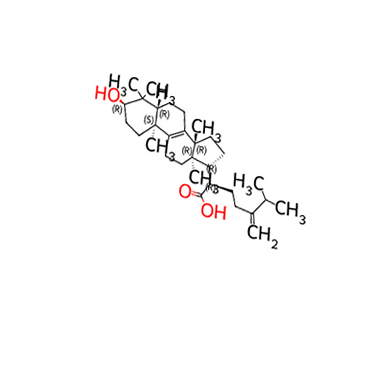 C=C(CC[C@@H](C(=O)O)[C@H]1CC[C@@]2(C)C3=C(CC[C@]12C)[C@@]1(C)CC[C@@H](O)C(C)(C)[C@@H]1CC3)C(C)C